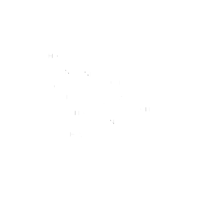 CCN(CC)S(C)(C)S(C)(C)NN(C)C